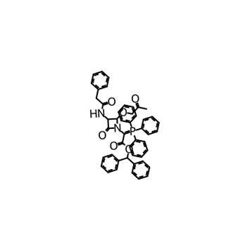 CC(=O)COC1C(NC(=O)Cc2ccccc2)C(=O)N1C(C(=O)OC(c1ccccc1)c1ccccc1)=P(c1ccccc1)(c1ccccc1)c1ccccc1